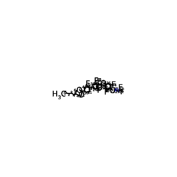 CCCCCC1COC(c2ccc(-c3cc(F)c(C(F)(F)Oc4cc(F)c(O/C=C/C(F)F)c(F)c4)c(F)c3)c(F)c2)OC1